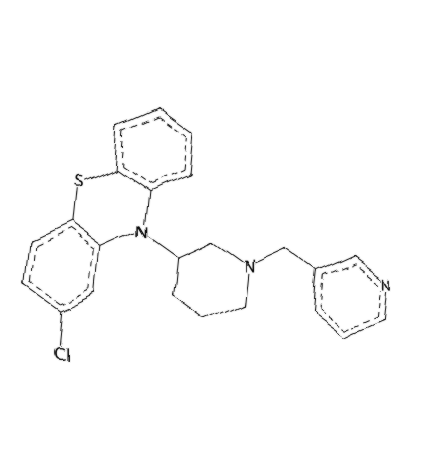 Clc1ccc2c(c1)N(C1CCCN(Cc3cccnc3)C1)c1ccccc1S2